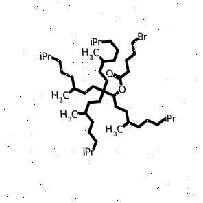 CC(C)CCCC(C)CCC(OC(=O)CCCCBr)C(CCC(C)CCCC(C)C)(CCC(C)CCCC(C)C)CCC(C)CCCC(C)C